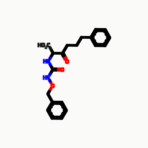 O=C(NOCc1ccccc1)NC(C(=O)O)C(=O)CCCc1ccccc1